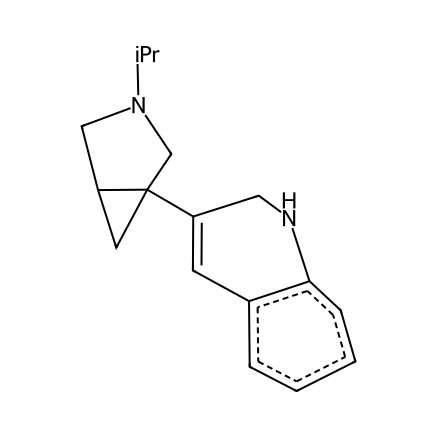 CC(C)N1CC2CC2(C2=Cc3ccccc3NC2)C1